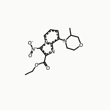 CCOC(=O)c1nc2c(N3CCOCC3C)cccn2c1[N+](=O)[O-]